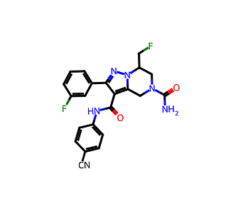 N#Cc1ccc(NC(=O)c2c(-c3cccc(F)c3)nn3c2CN(C(N)=O)CC3CF)cc1